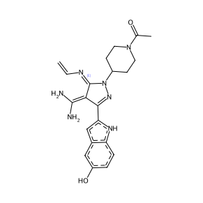 C=C/N=C1\C(=C(N)N)C(c2cc3cc(O)ccc3[nH]2)=NN1C1CCN(C(C)=O)CC1